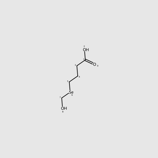 O=C(O)CCC[Se]CO